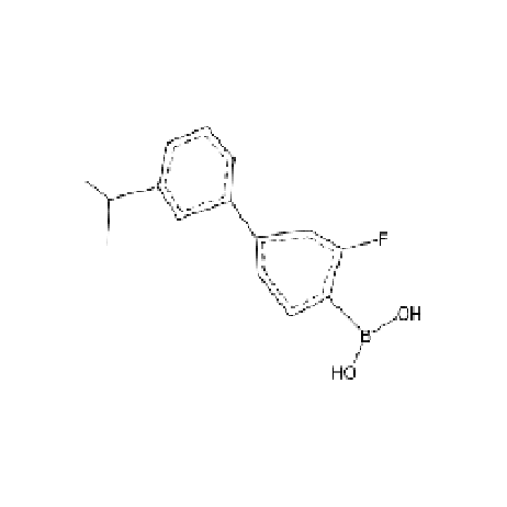 CC(C)c1cccc(-c2ccc(B(O)O)c(F)c2)c1